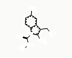 Cc1c(CO)c2cc(C(F)(F)F)ccc2n1C(=O)OC(C)(C)C